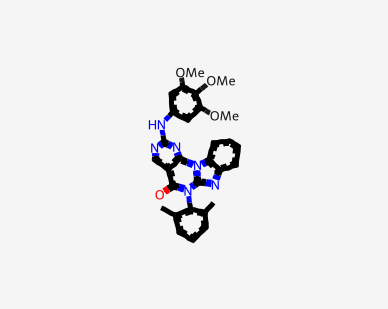 COc1cc(Nc2ncc3c(=O)n(-c4c(C)cccc4C)c4nc5ccccc5n4c3n2)cc(OC)c1OC